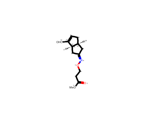 COC(=O)CCON=C1C[C@@H]2CC=C(C=O)[C@@H]2C1